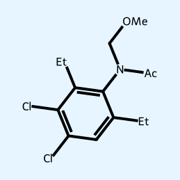 CCc1cc(Cl)c(Cl)c(CC)c1N(COC)C(C)=O